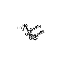 N#CCCCCCOc1cc(OCc2cccc(-c3cccc4c3cnn4CCCCN3CCCC3)c2Br)c(Cl)cc1CNC(CO)C(=O)O